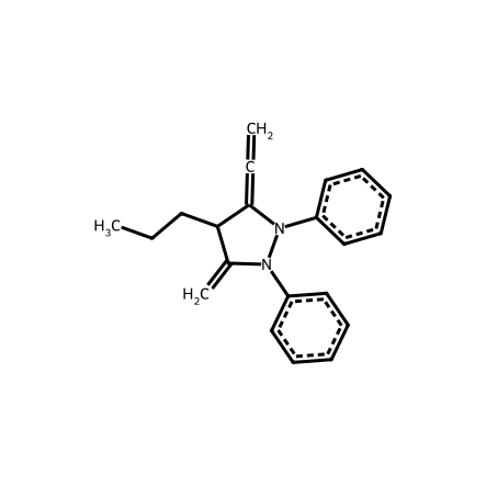 C=C=C1C(CCC)C(=C)N(c2ccccc2)N1c1ccccc1